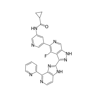 O=C(Nc1cncc(-c2ncc3[nH]nc(-c4nc5c(-c6ccccn6)nccc5[nH]4)c3c2F)c1)C1CC1